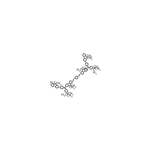 CC(C)(C)c1ccc(N(c2ccc(-c3ccc4c(c3)C(C)(C)c3ccccc3-4)cc2)c2ccc3c(c2)C(C)(C)c2cc(/C=C/c4ccc(/C=C/c5ccc6c(c5)C(C)(C)c5cc(N(c7ccc(-c8ccc9c(c8)C(C)(C)c8ccccc8-9)cc7)c7ccc(C(C)(C)C)cc7)ccc5-6)cc4)ccc2-3)cc1